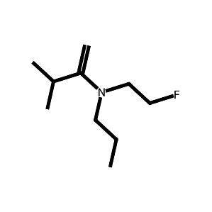 C=C(C(C)C)N(CCC)CCF